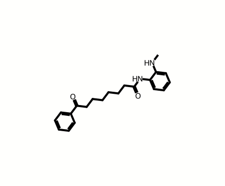 CNc1ccccc1NC(=O)CCCCCCC(=O)c1ccccc1